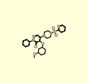 COC1CCCC(Oc2c(N3CCN(S(=O)(=O)c4ccccn4)CC3)cnn(-c3ccccc3)c2=O)C1